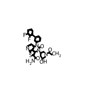 C=CC(=O)N1C[C@@H](O)C[C@@H](N2C(=O)N(c3cccc(-c4cccc(F)c4F)c3)c3ccnc4sc(C(N)=O)c2c34)C1